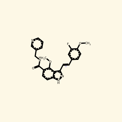 COc1ccc(/C=C/c2n[nH]c3ccc(C(=O)NCc4cccnc4)c(OC)c23)cc1F